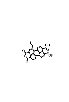 CCCc1cc2c3c(ccc4c5ccc(C(=O)O)c6c(C(=O)O)ccc(c1c34)c65)C(=O)OC2=O